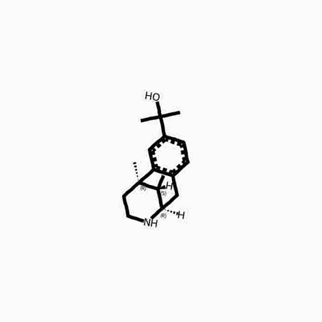 C[C@@H]1[C@H]2Cc3ccc(C(C)(C)O)cc3[C@]1(C)CCN2